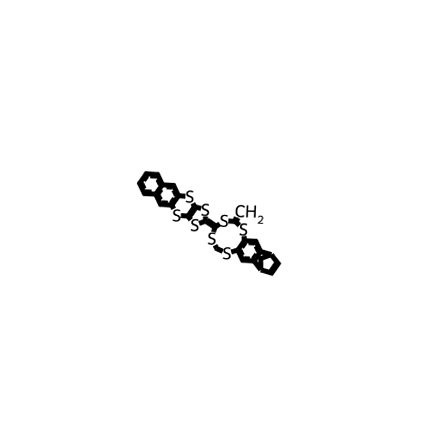 C=C1SC(=C2SC3=C(S2)Sc2cc4ccccc4cc2S3)SCSc2cc3c(cc2S1)C1C=CC3C1